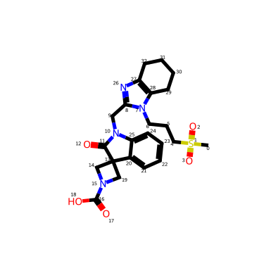 CS(=O)(=O)CCCn1c(CN2C(=O)C3(CN(C(=O)O)C3)c3ccccc32)nc2c1CCCC2